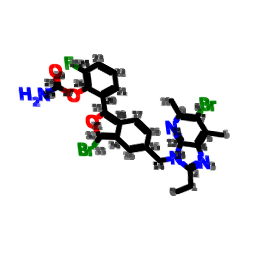 CCc1nc2c(C)c(Br)c(C)nc2n1Cc1ccc2c(-c3cccc(F)c3OC(N)=O)oc(Br)c2c1